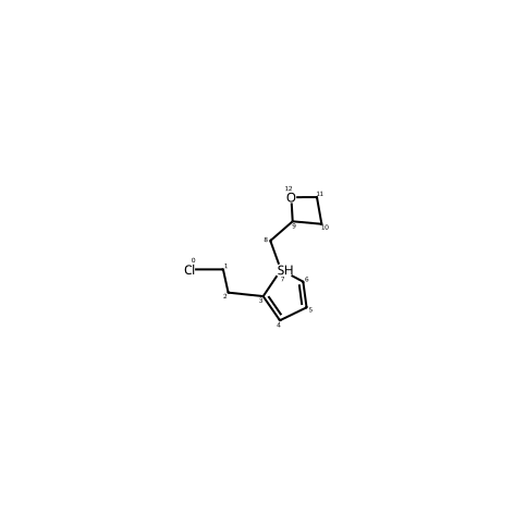 ClCCC1=CC=C[SH]1CC1CCO1